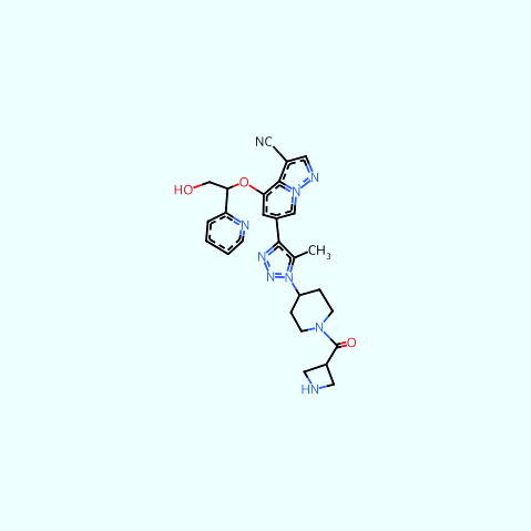 Cc1c(-c2cc(OC(CO)c3ccccn3)c3c(C#N)cnn3c2)nnn1C1CCN(C(=O)C2CNC2)CC1